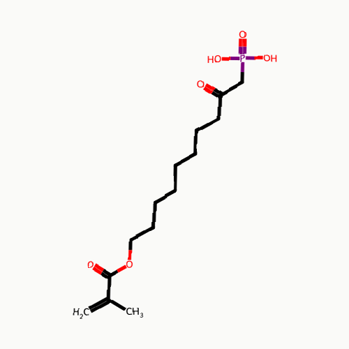 C=C(C)C(=O)OCCCCCCCCC(=O)CP(=O)(O)O